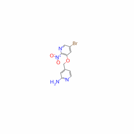 Nc1cc(COc2cc(Br)cnc2[N+](=O)[O-])ccn1